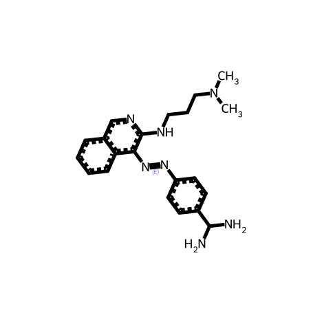 CN(C)CCCNc1ncc2ccccc2c1/N=N/c1ccc(C(N)N)cc1